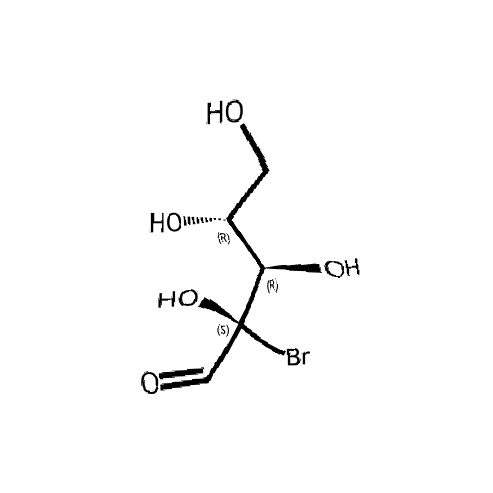 O=C[C@@](O)(Br)[C@H](O)[C@H](O)CO